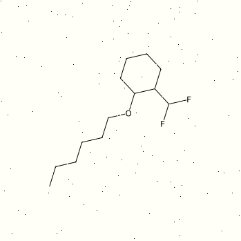 CCCCCCOC1CCCCC1C(F)F